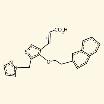 O=C(O)/C=C/c1csc(Cn2cccn2)c1OCCc1ccc2ccccc2c1